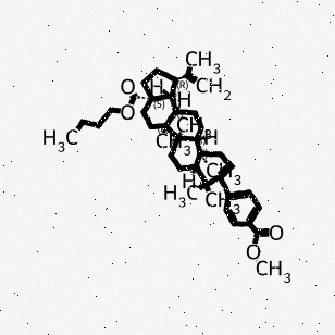 C=C(C)[C@@H]1CC[C@]2(C(=O)OCCCC)CC[C@]3(C)[C@H](CC[C@@H]4[C@@]5(C)CC=C(c6ccc(C(=O)OC)cc6)C(C)(C)[C@@H]5CC[C@]43C)[C@@H]12